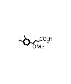 CO[C@H](CCC(=O)O)c1ccc(F)c(C)c1